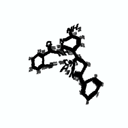 Cn1nc(-c2ccccc2)cc1-c1ccc(N)nc1NC(=O)c1ccccc1F